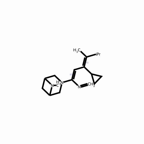 C=N/C(=C\C(=C(/C)C(C)C)C1CC1)N1CC2CC(C1)N2C